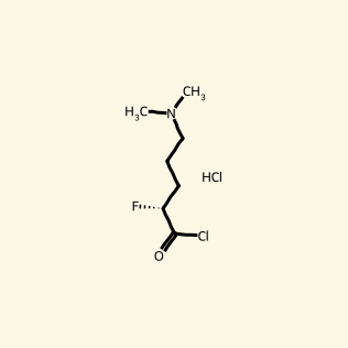 CN(C)CCC[C@@H](F)C(=O)Cl.Cl